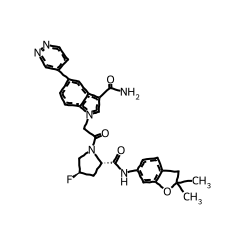 CC1(C)Cc2ccc(NC(=O)[C@@H]3C[C@@H](F)CN3C(=O)Cn3cc(C(N)=O)c4cc(-c5ccnnc5)ccc43)cc2O1